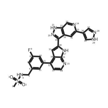 CS(=O)(=O)NCc1cc(F)cc(-c2ccnc3[nH]c(-c4n[nH]c5cnc(-c6cn[nH]c6)cc45)cc23)c1